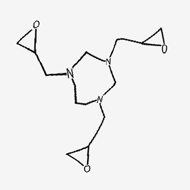 C1OC1CN1CN(CC2CO2)CN(CC2CO2)C1